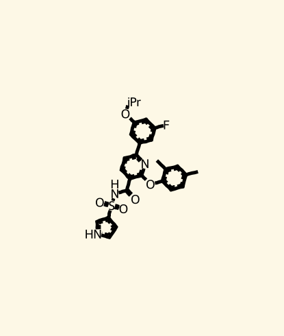 Cc1ccc(Oc2nc(-c3cc(F)cc(OC(C)C)c3)ccc2C(=O)NS(=O)(=O)c2cc[nH]c2)c(C)c1